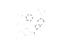 Cc1c(Cc2c(C(=O)N3CC(C)NC(C)C3)nc3ncc(N4CCOCC4)cn23)cccc1C(F)(F)F